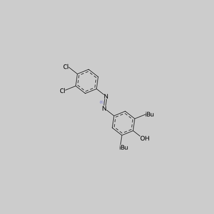 CCC(C)c1cc(/N=N/c2ccc(Cl)c(Cl)c2)cc(C(C)CC)c1O